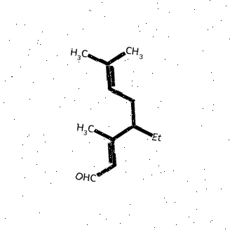 CCC(CC=C(C)C)C(C)=CC=O